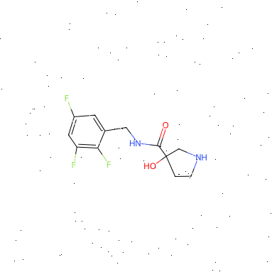 O=C(NCc1cc(F)cc(F)c1F)C1(O)CCNC1